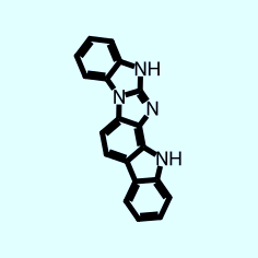 c1ccc2c(c1)[nH]c1c2ccc2c1nc1[nH]c3ccccc3n12